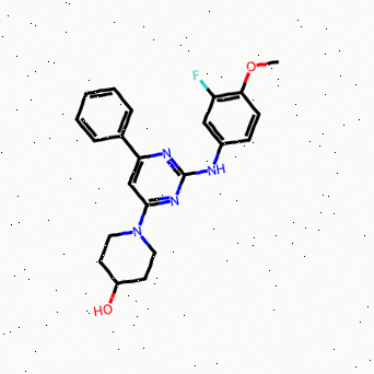 COc1ccc(Nc2nc(-c3ccccc3)cc(N3CCC(O)CC3)n2)cc1F